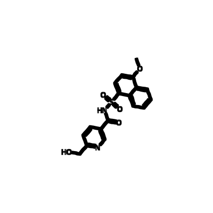 COc1ccc(S(=O)(=O)NC(=O)c2ccc(CO)nc2)c2ccccc12